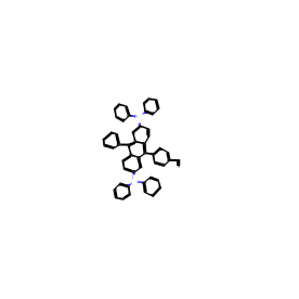 C=Cc1ccc(-c2c3ccc(N(c4ccccc4)c4ccccc4)cc3c(-c3ccccc3)c3ccc(N(c4ccccc4)c4ccccc4)cc23)cc1